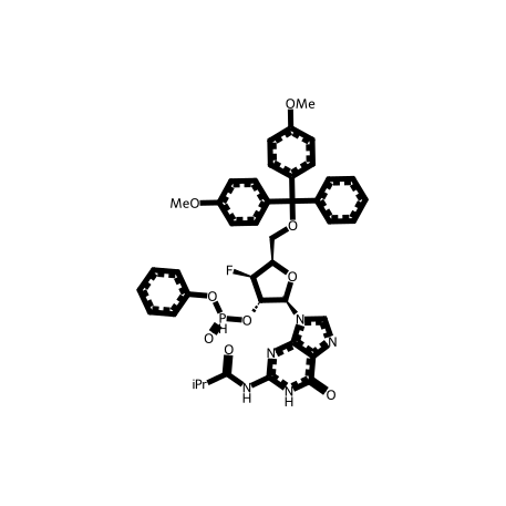 COc1ccc(C(OC[C@H]2O[C@@H](n3cnc4c(=O)[nH]c(NC(=O)C(C)C)nc43)[C@H](O[PH](=O)Oc3ccccc3)[C@H]2F)(c2ccccc2)c2ccc(OC)cc2)cc1